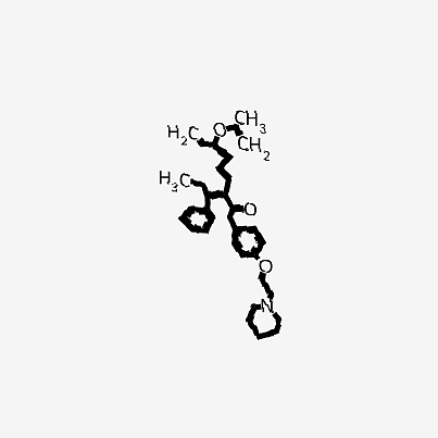 C=C/C(=C\C=C\C(C(=O)Cc1ccc(OCCN2CCCCC2)cc1)=C(CC)c1ccccc1)OC(=C)C